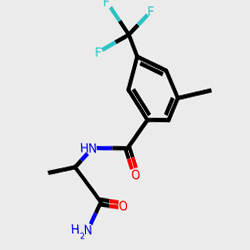 Cc1cc(C(=O)NC(C)C(N)=O)cc(C(F)(F)F)c1